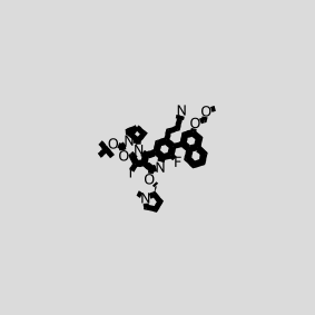 COCOc1cc(-c2c(CCC#N)cc3c(nc(OC[C@@H]4CCCN4C)c4c(I)cn(C56CC(CN5C(=O)OC(C)(C)C)C6)c43)c2F)c2ccccc2c1